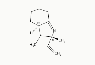 C=C[C@@]1(C)N=C2CCCC[C@@H]2C1C